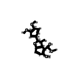 COC(=O)c1c(O)ccc2c1C(C)C(c1ccc(OC)c(OC)c1)O2